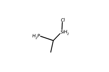 CC(P)[SiH2]Cl